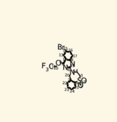 O=S1(=O)CCN(c2nc(OCC(F)(F)F)c3cc(Br)ccc3n2)Cc2ccccc21